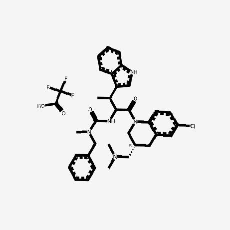 CC(c1c[nH]c2ccccc12)C(NC(=O)N(C)Cc1ccccc1)C(=O)N1C[C@@H](CN(C)C)Cc2cc(Cl)ccc21.O=C(O)C(F)(F)F